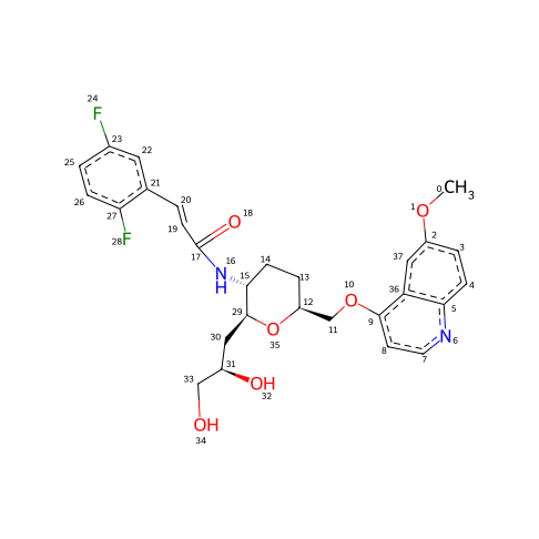 COc1ccc2nccc(OC[C@@H]3CC[C@@H](NC(=O)/C=C/c4cc(F)ccc4F)[C@H](C[C@@H](O)CO)O3)c2c1